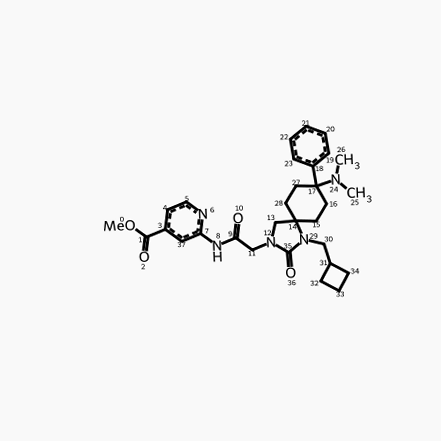 COC(=O)c1ccnc(NC(=O)CN2CC3(CCC(c4ccccc4)(N(C)C)CC3)N(CC3CCC3)C2=O)c1